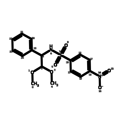 COC(OC)C(NS(=O)(=O)c1ccc([N+](=O)[O-])cc1)c1ccccc1